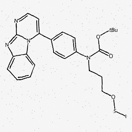 CC(C)(C)OC(=O)N(CCCOSI)c1ccc(-c2ccnc3nc4ccccc4n23)cc1